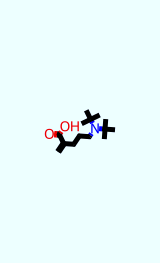 C=C(CCCN(C(C)(C)C)C(C)(C)C)C(=O)O